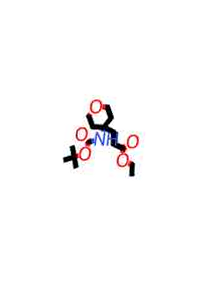 CCOC(=O)C=CC1(NC(=O)OC(C)(C)C)CCOCC1